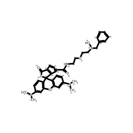 CN(C)c1ccc2c(c1)Oc1cc(N(C)C)ccc1C21OC(=O)c2ccc(C(=O)NCCOCCN(O)Cc3ccccc3)cc21